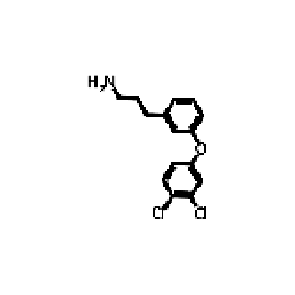 NCCCc1cccc(Oc2ccc(Cl)c(Cl)c2)c1